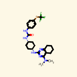 CN(C)c1nc(N[C@H]2CC[C@@H](NC(=O)Nc3ccc(SC(F)(F)F)cc3)CC2)nc2c1CCCC2